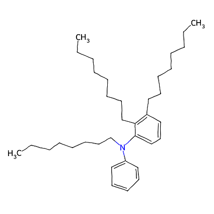 CCCCCCCCc1cccc(N(CCCCCCCC)c2ccccc2)c1CCCCCCCC